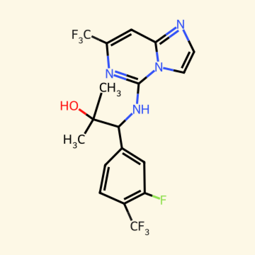 CC(C)(O)C(Nc1nc(C(F)(F)F)cc2nccn12)c1ccc(C(F)(F)F)c(F)c1